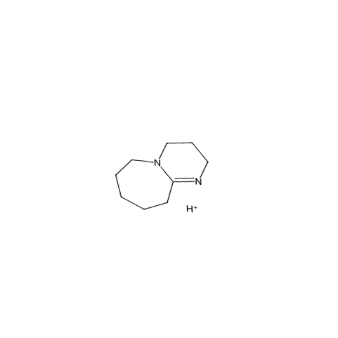 C1CCC2=NCCCN2CC1.[H+]